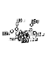 Cc1cc(C(C)(C)C)cc(C)c1N1c2cc(-c3cc(-c4ccc(C(C)(C)C)cc4)cc(-c4ccc(C(C)(C)C)cc4)c3)ccc2B2c3ccc(-c4cc(-c5ccc(C(C)(C)C)cc5)cc(-c5ccc(C(C)(C)C)cc5)c4)cc3N(c3c(C)cc(C(C)(C)C)cc3C)c3cc(C(C)(C)C)cc1c32